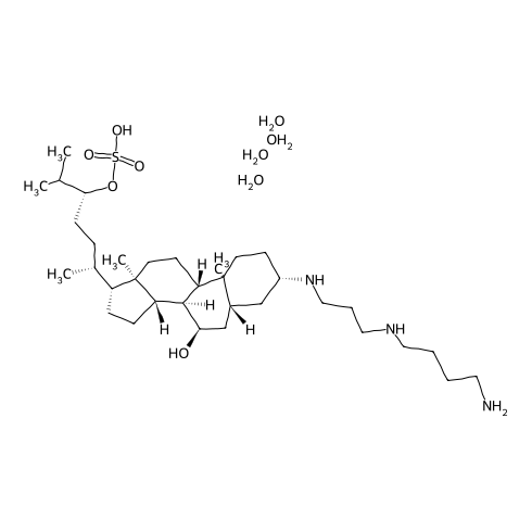 CC(C)[C@@H](CC[C@@H](C)[C@H]1CC[C@H]2[C@@H]3[C@H](O)C[C@H]4C[C@@H](NCCCNCCCCN)CC[C@]4(C)[C@H]3CC[C@]12C)OS(=O)(=O)O.O.O.O.O